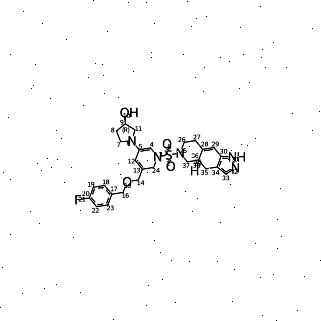 O=S(=O)(N1C=C(N2CC[C@@H](O)C2)C=C(COCc2ccc(F)cc2)C1)N1CCC2=Cc3[nH]ncc3C[C@H]2C1